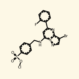 O=S(=O)(OCl)c1ccc(CNc2cc(-c3ccccc3F)nc3c(Br)cnn23)cc1